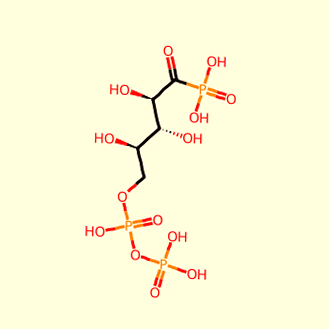 O=C([C@H](O)[C@H](O)[C@H](O)COP(=O)(O)OP(=O)(O)O)P(=O)(O)O